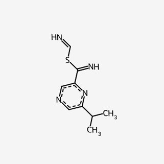 CC(C)c1cncc(C(=N)SC=N)n1